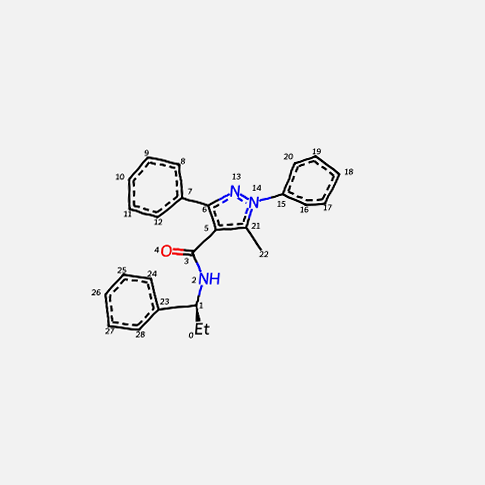 CC[C@H](NC(=O)c1c(-c2ccccc2)nn(-c2ccccc2)c1C)c1ccccc1